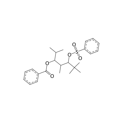 CC(C)C(OC(=O)c1ccccc1)C(C)C(OS(=O)(=O)c1ccccc1)C(C)(C)C